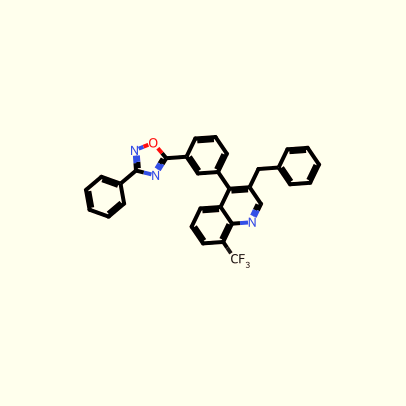 FC(F)(F)c1cccc2c(-c3cccc(-c4nc(-c5ccccc5)no4)c3)c(Cc3ccccc3)cnc12